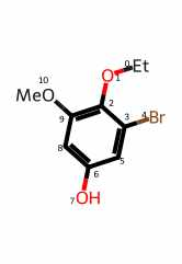 CCOc1c(Br)cc(O)cc1OC